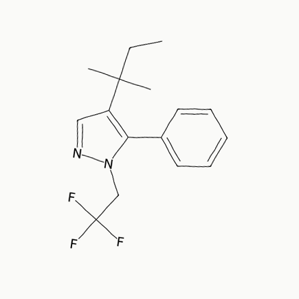 CCC(C)(C)c1cnn(CC(F)(F)F)c1-c1ccccc1